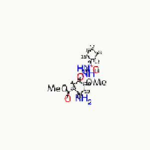 COC(=O)c1cc(ONNC(=O)c2ccccc2)c(OC)cc1N